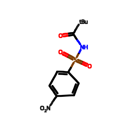 CC(C)(C)C(=O)NS(=O)(=O)c1ccc([N+](=O)[O-])cc1